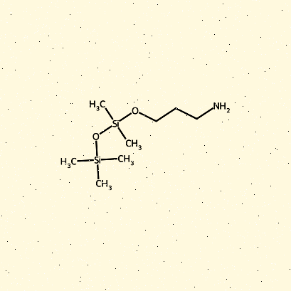 C[Si](C)(C)O[Si](C)(C)OCCCN